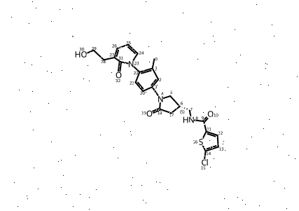 Cc1cc(N2C[C@H](CNC(=O)c3ccc(Cl)s3)CC2=O)ccc1-n1cccc(CCO)c1=O